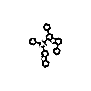 c1ccc(-c2cc(-c3nc(-c4ccccc4)nc(-c4ccc5c(c4)oc4ccccc45)n3)c3sc4c(-c5ccccc5)cccc4c3c2)cc1